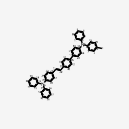 Cc1ccc(N(c2ccccc2)c2ccc(-c3ccc(/C=C/c4ccc(N(c5ccccc5)c5ccccc5)cc4)cc3)cc2)cc1